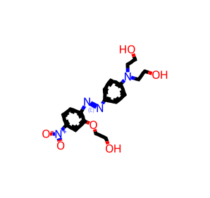 O=[N+]([O-])c1ccc(/N=N/c2ccc(N(CCO)CCO)cc2)c(OCCO)c1